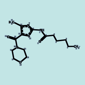 [CH2]CCCCC(=O)Nc1nc(C)c(C(=O)N2CCOCC2)s1